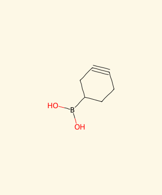 OB(O)C1CC#CCC1